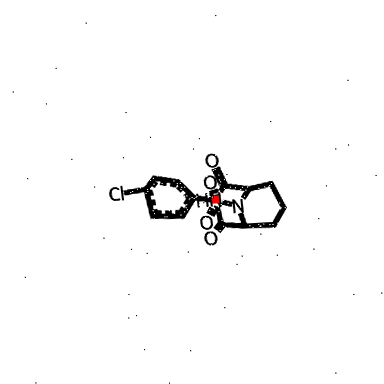 O=C1NC(=O)C2CCCC1N2S(=O)(=O)c1ccc(Cl)cc1